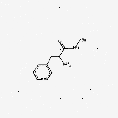 CCCCNC(=O)C(N)Cc1ccccc1